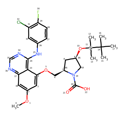 COc1cc(OC[C@H]2C[C@@H](O[Si](C)(C)C(C)(C)C)CN2C(=O)O)c2c(Nc3ccc(F)c(Cl)c3)ncnc2c1